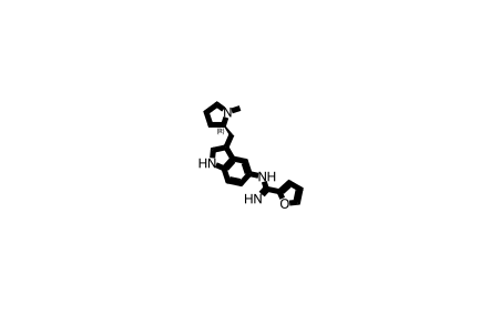 CN1CCC[C@@H]1CC1CNc2ccc(NC(=N)c3ccco3)cc21